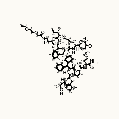 CCOCCOCC(=O)NCCCC[C@H](NC(=O)C[C@@H](C)CC)C(=O)N[C@H](CC(=O)N[C@H](CCCCN)C(=O)N[C@@H](CSSC[C@H](NC(=O)[C@@H]1CCCN1C(=O)[C@@H](NC(=O)[C@H](Cc1cnc[nH]1)NC(=O)C[C@@H](C)O)C(c1ccccc1)c1ccccc1)C(N)=O)C(N)=O)Cc1ccccc1